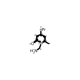 CCCc1cc(C)n(CN)c(=O)c1